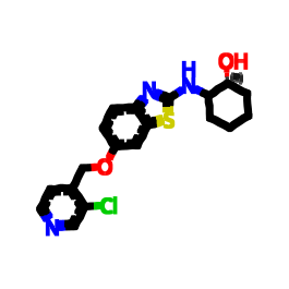 O[C@@H]1CCCCC1Nc1nc2ccc(OCc3ccncc3Cl)cc2s1